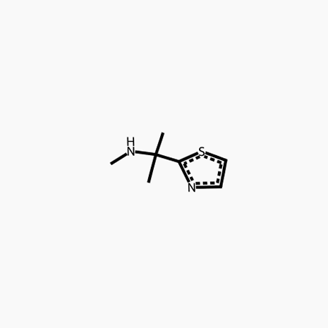 CNC(C)(C)c1nccs1